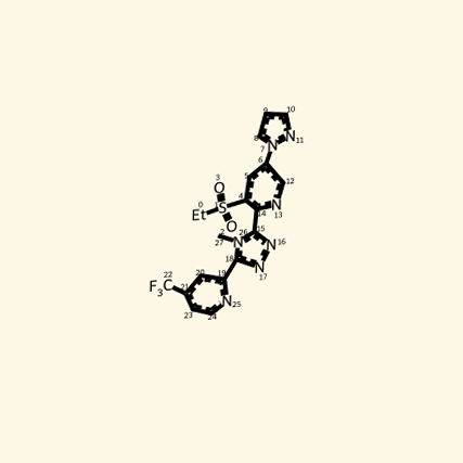 CCS(=O)(=O)c1cc(-n2cccn2)cnc1-c1nnc(-c2cc(C(F)(F)F)ccn2)n1C